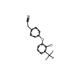 N#CCc1ccc(Oc2cccc(C(F)(F)F)c2Cl)cc1